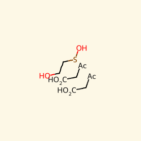 CC(=O)CC(=O)O.CC(=O)CC(=O)O.OCCSO